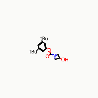 CC(C)(C)c1cc(OC(=O)N2CC(O)C2)cc(C(C)(C)C)c1